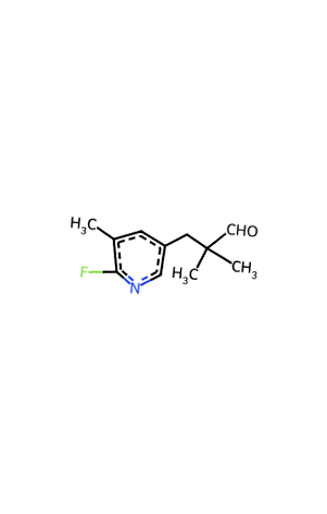 Cc1cc(CC(C)(C)C=O)cnc1F